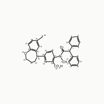 CN(C(=O)C(c1ccccc1)c1ccccc1)c1ccc(N2CCCOc3ccc(F)cc32)nc1C(=O)O